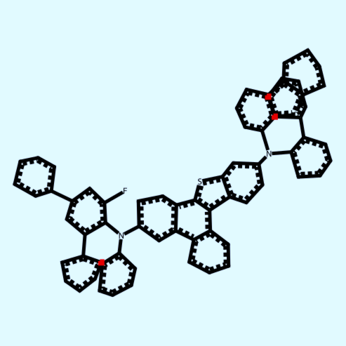 Fc1cc(-c2ccccc2)cc(-c2ccccc2)c1N(c1ccccc1)c1ccc2c(c1)c1ccccc1c1c3ccc(N(c4ccccc4-c4ccccc4)c4cccc5c4oc4ccccc45)cc3sc21